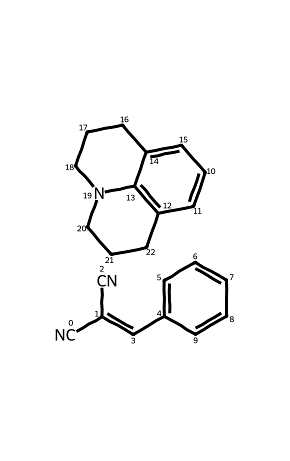 N#CC(C#N)=Cc1ccccc1.c1cc2c3c(c1)CCCN3CCC2